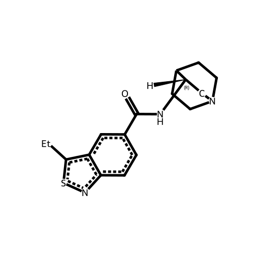 CCc1snc2ccc(C(=O)N[C@H]3CN4CCC3CC4)cc12